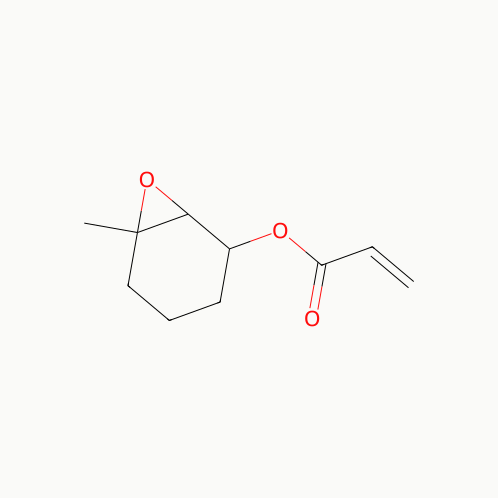 C=CC(=O)OC1CCCC2(C)OC12